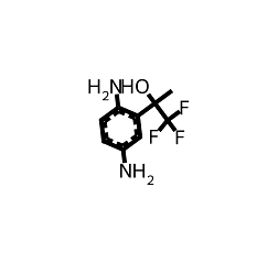 CC(O)(c1cc(N)ccc1N)C(F)(F)F